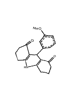 COc1cccc(C2C3=C(CCCC3=O)NC3=C2C(=O)CCC3)c1